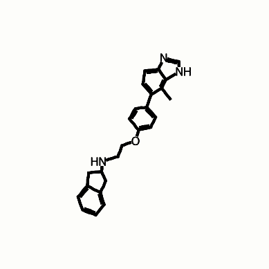 Cc1c(-c2ccc(OCCNC3Cc4ccccc4C3)cc2)ccc2nc[nH]c12